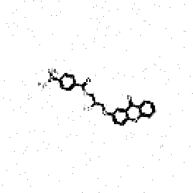 CN(C)c1ccc(C(=O)OCC(O)COc2ccc3sc4ccccc4c(=O)c3c2)cc1